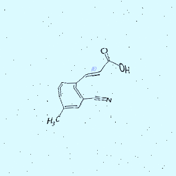 Cc1ccc(/C=C/C(=O)O)c(C#N)c1